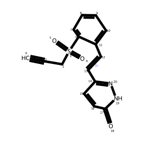 C#CCS(=O)(=O)c1ccccc1/C=C/c1ccc(=O)[nH]n1